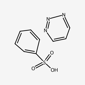 O=S(=O)(O)c1ccccc1.c1cnnnc1